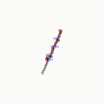 CCCCCCCCCCCCCCCC(=O)N[C@@H](CCC(=O)NCCOCCOCC(=O)NCCOCCOCC(=O)NCCOCCOCC(C)=O)C(=O)O